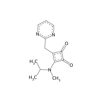 CC(C)N(C)c1c(Cc2ncccn2)c(=O)c1=O